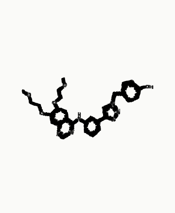 COCCOc1cc2ncnc(Nc3cccc(-c4cn(Cc5ccc(O)cc5)nn4)c3)c2cc1OCCOC